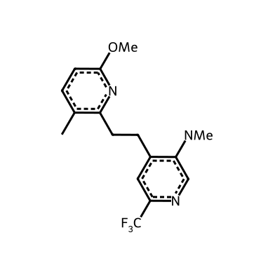 CNc1cnc(C(F)(F)F)cc1CCc1nc(OC)ccc1C